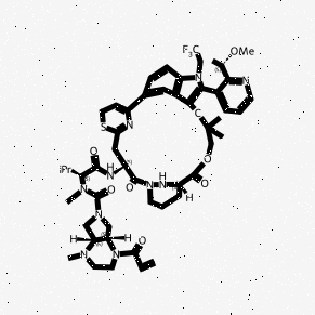 C=CC(=O)N1CCN(C)[C@@H]2CN(C(=O)N(C)[C@H](C(=O)N[C@H]3CC4=NC(=CCS4)c4ccc5c(c4)c(c(-c4cccnc4[C@H](C)OC)n5CC(F)(F)F)CC(C)(C)COC(=O)[C@@H]4CCCN(N4)C3=O)C(C)C)C[C@@H]21